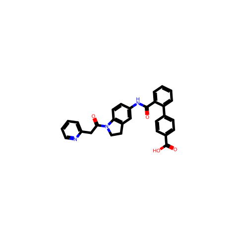 O=C(O)c1ccc(-c2ccccc2C(=O)Nc2ccc3c(c2)CCN3C(=O)Cc2ccccn2)cc1